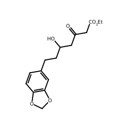 CCOC(=O)CC(=O)CC(O)CCc1ccc2c(c1)OCO2